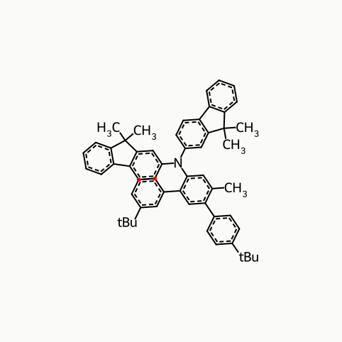 Cc1cc(N(c2ccc3c(c2)C(C)(C)c2ccccc2-3)c2ccc3c(c2)C(C)(C)c2ccccc2-3)c(-c2cccc(C(C)(C)C)c2)cc1-c1ccc(C(C)(C)C)cc1